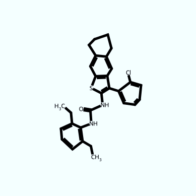 CCc1cccc(CC)c1NC(=O)Nc1sc2cc3c(cc2c1-c1ccccc1Cl)CCCC3